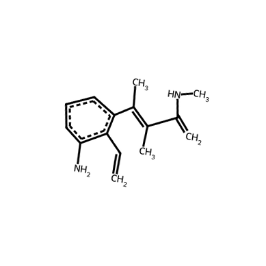 C=Cc1c(N)cccc1/C(C)=C(\C)C(=C)NC